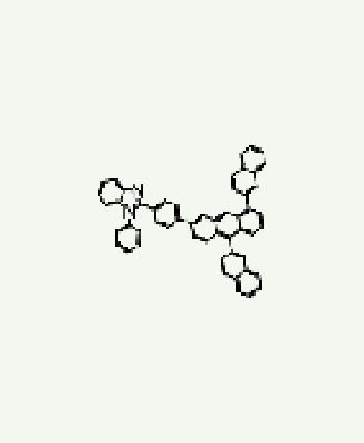 c1ccc(-n2c(-c3ccc(-c4ccc5c(-c6ccc7ccccc7c6)c6cccc(-c7ccc8ccccc8c7)c6cc5c4)cc3)nc3ccccc32)cc1